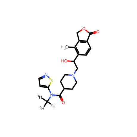 [2H]C([2H])([2H])N(C(=O)C1CCN(CC(O)c2ccc3c(c2C)COC3=O)CC1)c1ccns1